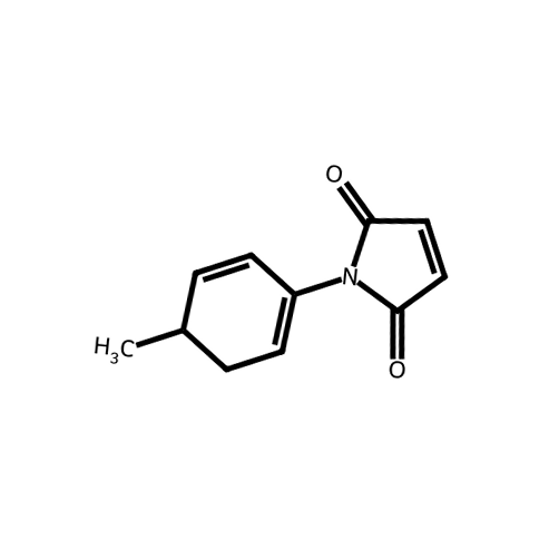 CC1C=CC(N2C(=O)C=CC2=O)=CC1